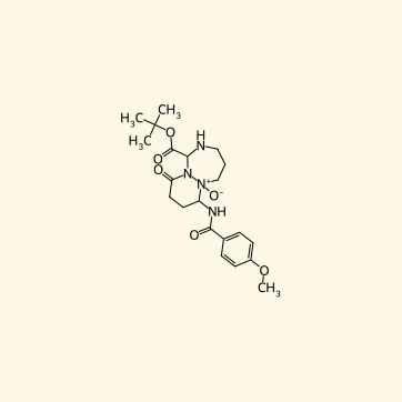 COc1ccc(C(=O)NC2CCC(=O)N3C(C(=O)OC(C)(C)C)NCCC[N+]23[O-])cc1